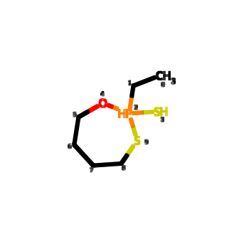 CC[PH]1(S)OCCCCS1